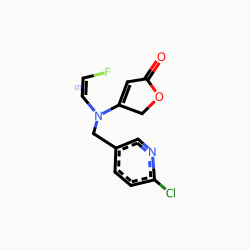 O=C1C=C(N(/C=C\F)Cc2ccc(Cl)nc2)CO1